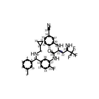 Cc1cccc(C(NCC2CC2)c2ccc(F)c(NC(=O)/C(=C/C(=N)C(F)(F)F)Nc3cccc(C#N)c3)c2)c1